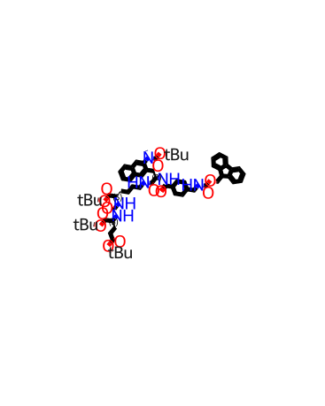 CN(C(=O)OC(C)(C)C)c1cc2ccccc2cc1C[C@@H](NC(=O)C1CCC(CNC(=O)OCC2c3ccccc3-c3ccccc32)CC1)C(=O)NCCCC[C@H](NC(=O)N[C@@H](CCC(=O)OC(C)(C)C)C(=O)OC(C)(C)C)C(=O)OC(C)(C)C